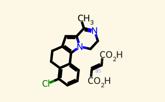 CC1=NCCn2c1cc1c2-c2cccc(Cl)c2CC1.O=C(O)/C=C/C(=O)O